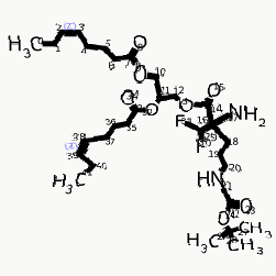 CC/C=C\CCCC(=O)OCC(COC(=O)C(N)(CCCNC(=O)OC(C)(C)C)C(F)F)OC(=O)CCC/C=C\CC